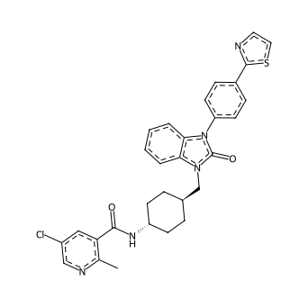 Cc1ncc(Cl)cc1C(=O)N[C@H]1CC[C@H](Cn2c(=O)n(-c3ccc(-c4nccs4)cc3)c3ccccc32)CC1